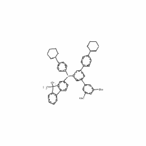 CC(C)(C)c1cc(-c2cc(-c3ccc(C4CCCCC4)cc3)cc(N(c3ccc(C4CCCCC4)cc3)c3ccc4c(c3)C(C)(C)c3ccccc3-4)c2)cc(C(C)(C)C)c1